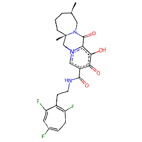 C[C@@H]1CCC[C@@]2(C)Cn3cc(C(=O)NCCC4=C(F)CC=C(F)C=C4F)c(=O)c(O)c3C(=O)N2C1